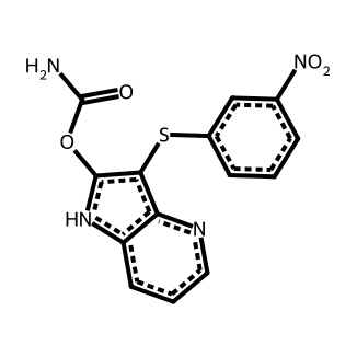 NC(=O)Oc1[nH]c2cccnc2c1Sc1cccc([N+](=O)[O-])c1